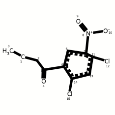 CCCC(=O)c1cc([N+](=O)[O-])c(Cl)cc1Cl